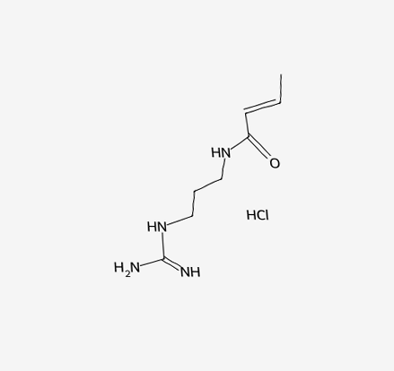 CC=CC(=O)NCCCNC(=N)N.Cl